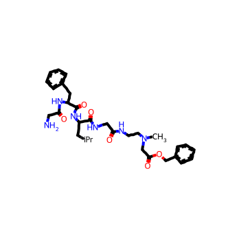 CC(C)CC(NC(=O)C(Cc1ccccc1)NC(=O)CN)C(=O)NCC(=O)NCCN(C)CC(=O)OCc1ccccc1